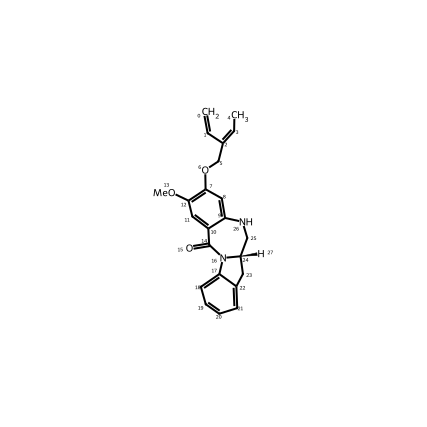 C=C/C(=C\C)COc1cc2c(cc1OC)C(=O)N1c3ccccc3C[C@H]1CN2